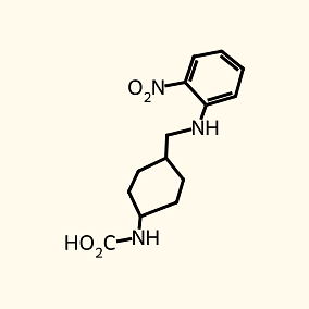 O=C(O)NC1CCC(CNc2ccccc2[N+](=O)[O-])CC1